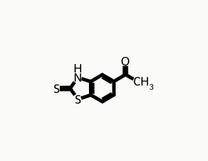 CC(=O)c1ccc2sc(=S)[nH]c2c1